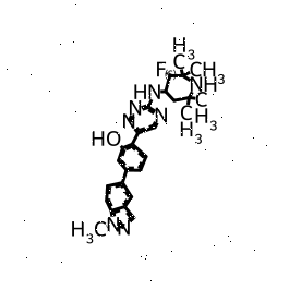 Cn1ncc2cc(-c3ccc(-c4cnc(NC5CC(C)(C)NC(C)(C)[C@H]5F)nn4)c(O)c3)ccc21